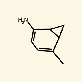 CC1=CC=C(N)C2CC12